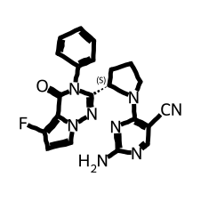 N#Cc1cnc(N)nc1N1CCC[C@H]1c1nn2ccc(F)c2c(=O)n1-c1ccccc1